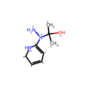 CC(C)(O)N(N)C1=CC=CCN1